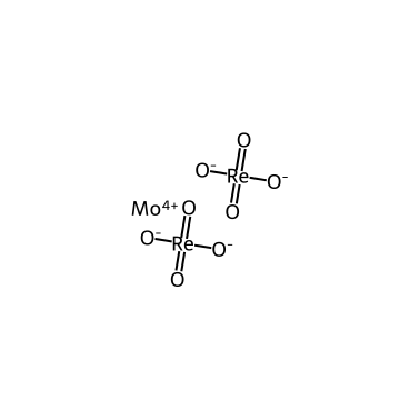 [Mo+4].[O]=[Re](=[O])([O-])[O-].[O]=[Re](=[O])([O-])[O-]